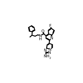 CC(CCNC(=O)c1cc(-c2ccn3nc(N)nc3c2)nc2ccc(F)cc12)c1ccccc1